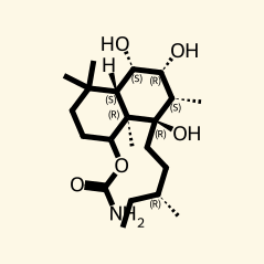 CC[C@@H](C)CC[C@@]1(O)[C@@H](C)[C@@H](O)[C@@H](O)[C@H]2C(C)(C)CCC(OC(N)=O)[C@@]21C